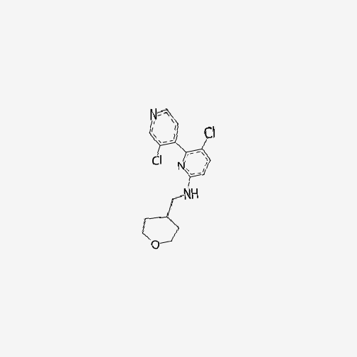 Clc1cnccc1-c1nc(NCC2CCOCC2)ccc1Cl